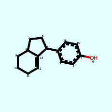 Oc1ccc(C2CCC3CCCC=C32)cc1